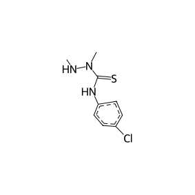 CNN(C)C(=S)Nc1ccc(Cl)cc1